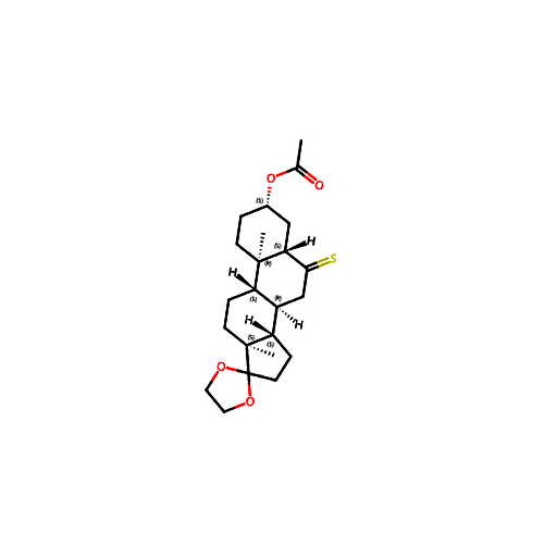 CC(=O)O[C@H]1CC[C@@]2(C)[C@H](C1)C(=S)C[C@@H]1[C@@H]2CC[C@@]2(C)[C@H]1CCC21OCCO1